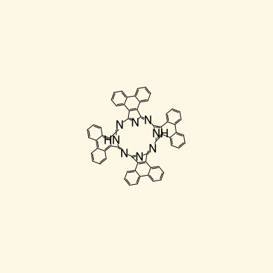 c1ccc2c(c1)c1c(c3ccccc32)-c2nc-1nc1[nH]c(nc3nc(nc4[nH]c(n2)c2c5ccccc5c5ccccc5c42)-c2c-3c3ccccc3c3ccccc23)c2c3ccccc3c3ccccc3c12